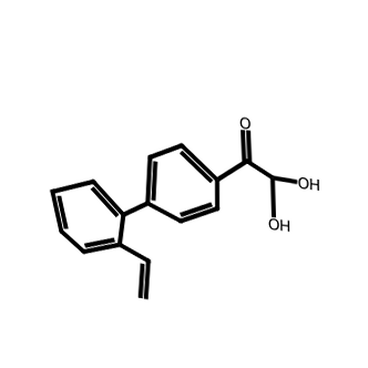 C=Cc1ccccc1-c1ccc(C(=O)C(O)O)cc1